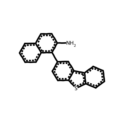 Nc1ccc2ccccc2c1-c1ccc2sc3ccccc3c2c1